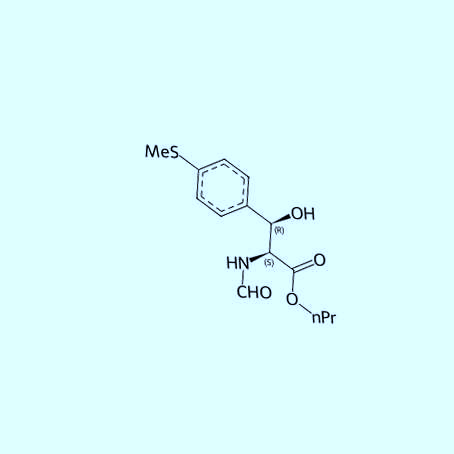 CCCOC(=O)[C@@H](NC=O)[C@H](O)c1ccc(SC)cc1